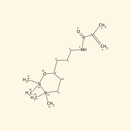 C=C(C)C(=O)NCCCC1CC[Si](C)(C)[Si](C)(C)O1